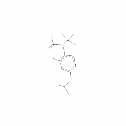 CC(C)(C)N(C(=O)O)c1ccc(OC(F)F)cc1F